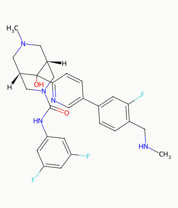 CNCc1ccc(-c2ccc(C3(O)[C@@H]4CN(C)C[C@H]3CN(C(=O)Nc3cc(F)cc(F)c3)C4)nc2)cc1F